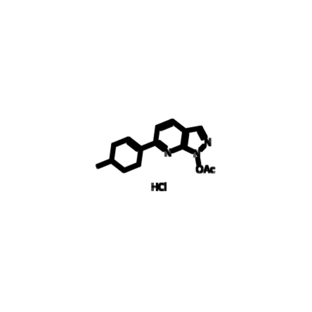 CC(=O)On1ncc2ccc(C3=CCC(C)CC3)nc21.Cl